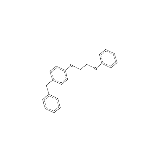 c1ccc(Cc2ccc(OCCOc3ccccc3)cc2)cc1